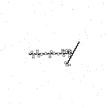 CCCCCCCCCCC(CCCCCCCC(=O)O)C(=O)N[C@@H](CCC(=O)NCCOCCOCC(=O)NCCOCCOCC(=O)NCCNC(=O)CI)C(=O)O